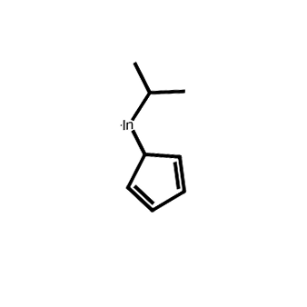 C[CH](C)[In][CH]1C=CC=C1